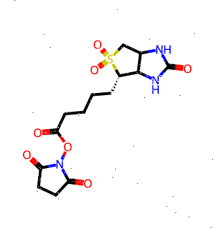 O=C1NC2CS(=O)(=O)[C@@H](CCCCC(=O)ON3C(=O)CCC3=O)C2N1